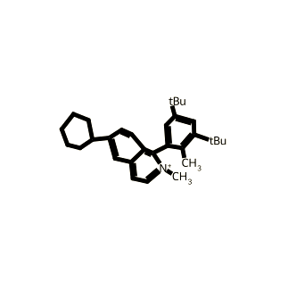 Cc1c(-c2c3ccc(C4CCCCC4)cc3cc[n+]2C)cc(C(C)(C)C)cc1C(C)(C)C